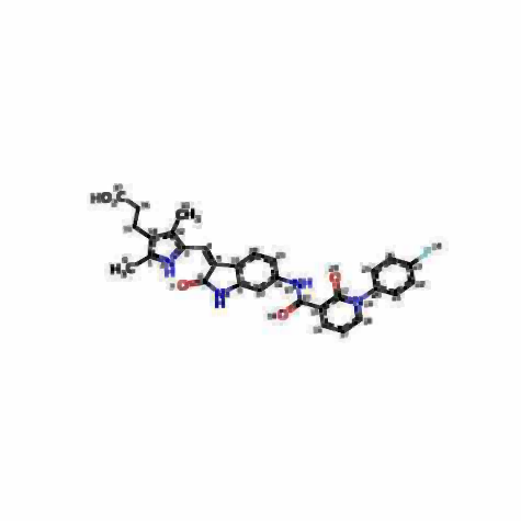 Cc1[nH]c(C=C2C(=O)Nc3cc(NC(=O)c4cccn(-c5ccc(F)cc5)c4=O)ccc32)c(C)c1CCC(=O)O